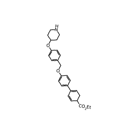 CCOC(=O)C1C=CC(c2ccc(OCc3ccc(OC4CCNCC4)cc3)cc2)=CC1